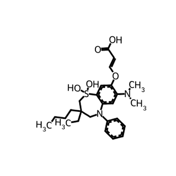 CCCCC1(CC)CN(c2ccccc2)c2cc(N(C)C)c(O/C=C/C(=O)O)cc2S(O)(O)C1